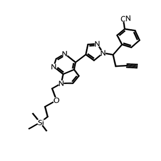 C#CCC(c1cccc(C#N)c1)n1cc(-c2ncnc3c2ccn3COCC[Si](C)(C)C)cn1